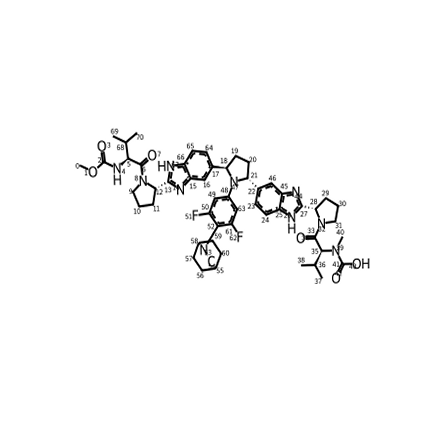 COC(=O)N[C@H](C(=O)N1CCC[C@H]1c1nc2cc([C@H]3CC[C@H](c4ccc5[nH]c([C@@H]6CCCN6C(=O)[C@H](C(C)C)N(C)C(=O)O)nc5c4)N3c3cc(F)c(N4CC5CCC4CC5)c(F)c3)ccc2[nH]1)C(C)C